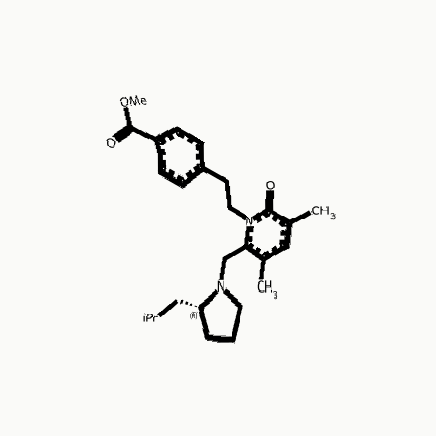 COC(=O)c1ccc(CCn2c(CN3CCC[C@@H]3CC(C)C)c(C)cc(C)c2=O)cc1